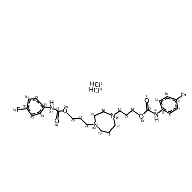 Cl.Cl.O=C(Nc1ccc(F)cc1)OCCCN1CCCN(CCCOC(=O)Nc2ccc(F)cc2)CC1